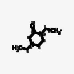 [CH2]CN1CCN(CC)CC1=O